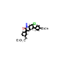 CCOC(=O)Cc1cccc(-c2cc3cc(-c4ccc(OC)cc4)c(Cl)cc3[nH]c2=O)c1